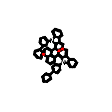 c1ccc(-c2ccc(-n3c4ccccc4c4cccc(-c5cccc6cccc(-c7cccc8c9ccccc9n(-c9cccc(-c%10ccccc%10)c9)c78)c56)c43)cc2)cc1